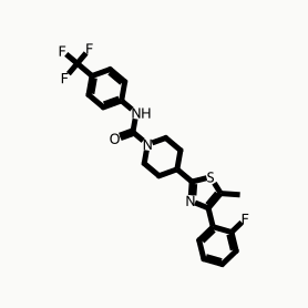 Cc1sc(C2CCN(C(=O)Nc3ccc(C(F)(F)F)cc3)CC2)nc1-c1ccccc1F